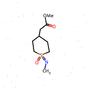 CN=S1(=O)CCC(CC(=O)OC)CC1